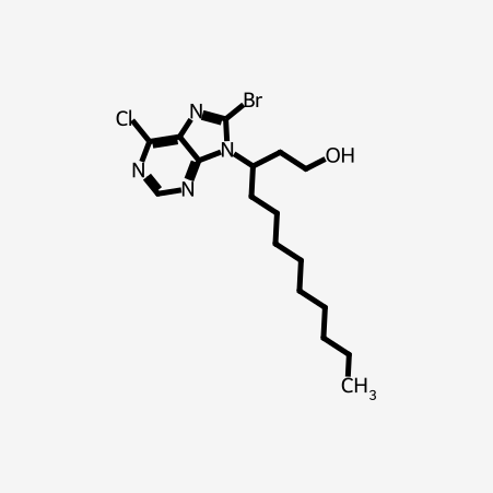 CCCCCCCCCC(CCO)n1c(Br)nc2c(Cl)ncnc21